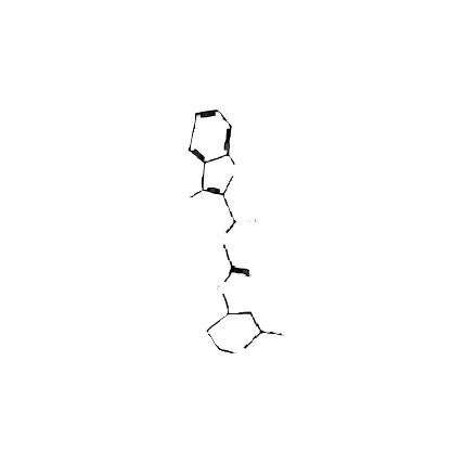 Cc1c([C@H](C)NC(=O)NC2CCOC(C)C2)oc2ccccc12